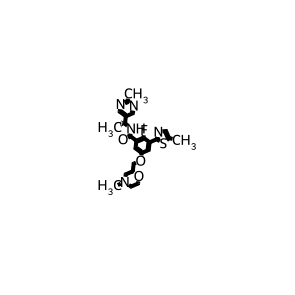 Cc1ncc([C@@H](C)NC(=O)c2cc(OCC3CN(C)CCO3)cc(-c3ncc(C)s3)c2F)cn1